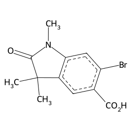 CN1C(=O)C(C)(C)c2cc(C(=O)O)c(Br)cc21